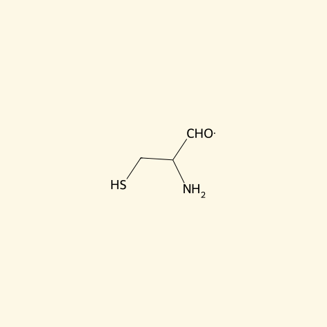 NC([C]=O)CS